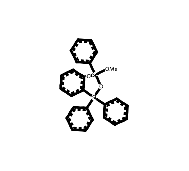 CO[Si](OC)(O[Si](c1ccccc1)(c1ccccc1)c1ccccc1)c1ccccc1